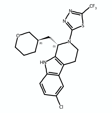 FC(F)(F)c1nnc(N2CCc3c([nH]c4ccc(Cl)cc34)[C@@H]2C[C@H]2CCCOC2)s1